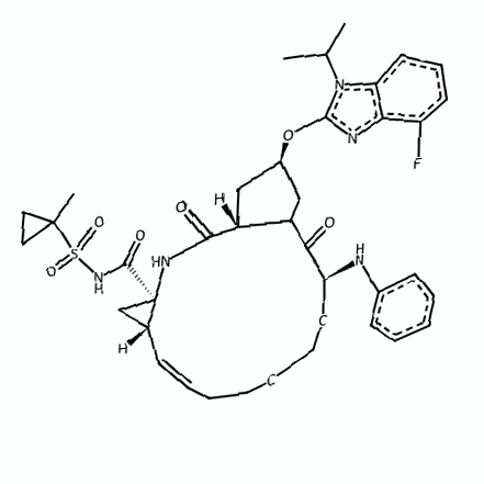 CC(C)n1c(O[C@H]2CC3C(=O)[C@@H](Nc4ccccc4)CCCCC/C=C\[C@@H]4C[C@@]4(C(=O)NS(=O)(=O)C4(C)CC4)NC(=O)[C@@H]3C2)nc2c(F)cccc21